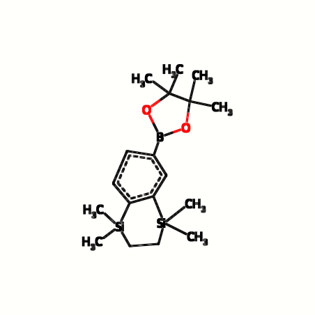 CC1(C)OB(c2ccc3c(c2)[Si](C)(C)CC[Si]3(C)C)OC1(C)C